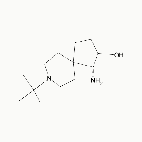 CC(C)(C)N1CCC2(CCC(O)[C@@H]2N)CC1